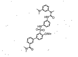 COc1ccc(-c2cccc(C(=O)N(C)C)c2)cc1S(=O)(=O)Nc1cccc(NC(=O)N(C)c2cccc(N(C)C)c2)c1